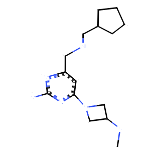 CNC1CN(c2cc(CNCC3CCCC3)nc(N)n2)C1